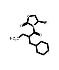 CC(C)C1COC(=O)N1C(=O)C(CC(=O)O)CC1CCCCC1